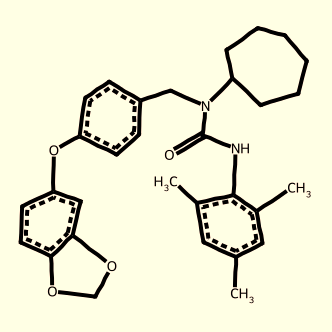 Cc1cc(C)c(NC(=O)N(Cc2ccc(Oc3ccc4c(c3)OCO4)cc2)C2CCCCCC2)c(C)c1